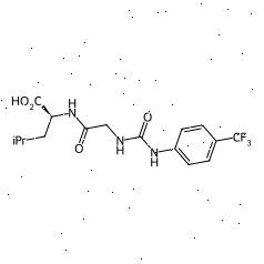 CC(C)C[C@H](NC(=O)CNC(=O)Nc1ccc(C(F)(F)F)cc1)C(=O)O